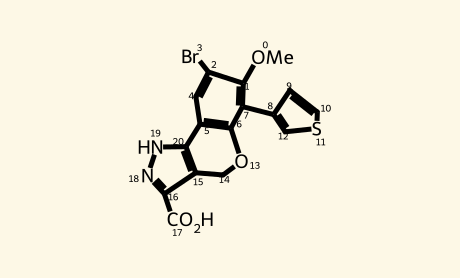 COc1c(Br)cc2c(c1-c1ccsc1)OCc1c(C(=O)O)n[nH]c1-2